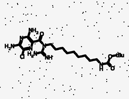 CC(C)(C)OC(=O)NCCCCCCCCCN(C(=N)N)C(=O)c1nc(Cl)c(N)nc1N